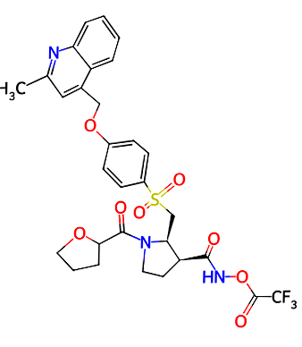 Cc1cc(COc2ccc(S(=O)(=O)C[C@H]3[C@@H](C(=O)NOC(=O)C(F)(F)F)CCN3C(=O)C3CCCO3)cc2)c2ccccc2n1